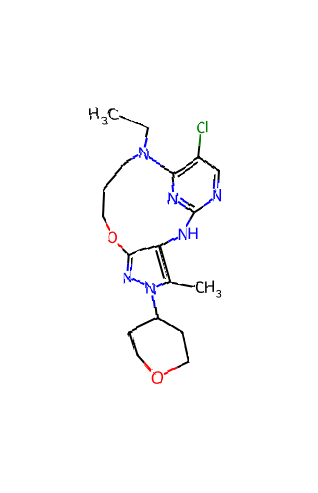 CCN1CCCOc2nn(C3CCOCC3)c(C)c2Nc2ncc(Cl)c1n2